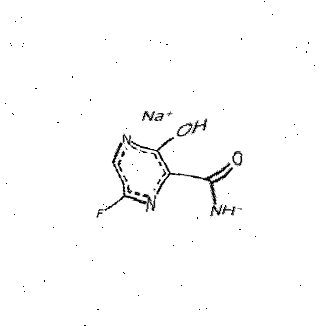 [NH-]C(=O)c1nc(F)cnc1O.[Na+]